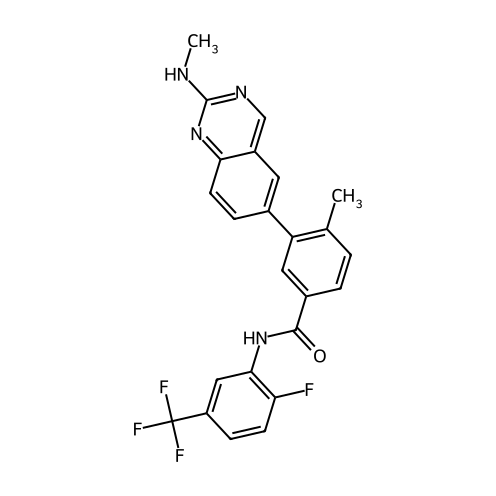 CNc1ncc2cc(-c3cc(C(=O)Nc4cc(C(F)(F)F)ccc4F)ccc3C)ccc2n1